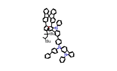 CC(CC(C)(c1ccc(-c2ccc3c(c2)C2(c4ccccc4-3)c3ccccc3-c3ccc(-c4cccc5c6cc(-c7ccc(N(c8ccc(-c9ccccc9)cc8)c8ccc9c%10ccccc%10n(-c%10ccccc%10)c9c8)cc7)ccc6n(-c6ccccc6)c45)cc32)cc1)C(C)(C)C)C(C)(C)C